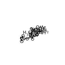 CC[C@H](C)[C@@H]([C@@H](CC(=O)N1CCC[C@H]1[C@H](OC)[C@@H](C)C(=O)N[C@@H](Cc1ccccc1)C(=O)NCCOCCN1C(=O)C=CC1=O)OC)N(C)C(=O)[C@@H](N)C(C)C